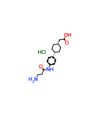 Cl.NCCC(=O)Nc1ccc([C@H]2CC[C@H](CC(=O)O)CC2)cc1